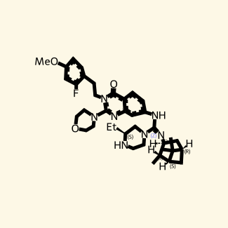 CC[C@H]1CN(/C(=N\[C@H]2C[C@H]3C[C@@H]([C@@H]2C)C3(C)C)Nc2ccc3c(=O)n(CCc4ccc(OC)cc4F)c(N4CCOCC4)nc3c2)CCN1